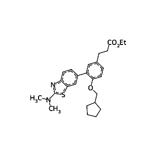 CCOC(=O)CCc1ccc(OCC2CCCC2)c(-c2ccc3nc(N(C)C)sc3c2)c1